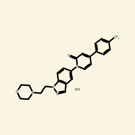 Cl.O=c1cc(-c2ccc(C(F)(F)F)cc2)ccn1-c1ccc2c(cnn2CCN2CCOCC2)c1